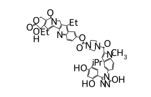 CCc1c2c(nc3ccc(OC(=O)N4CCN(C(=O)c5cc6cc(-n7c(O)nnc7-c7cc(C(C)C)c(O)cc7O)ccc6n5C)CC4)cc13)-c1cc3c(c(=O)n1C2)COC(=O)C3(O)CC